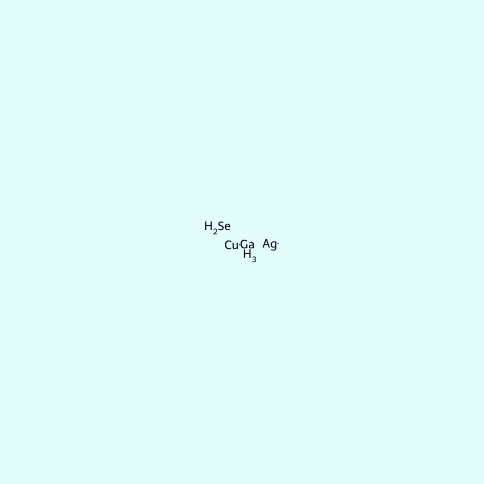 [Ag].[Cu].[GaH3].[SeH2]